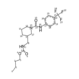 CCCCOC(=O)NCC1CCCN(C(=O)Nc2ccc(C(F)(F)F)cc2)C1